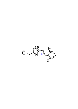 Fc1cccc(F)c1/C=C/c1nc(CCl)co1